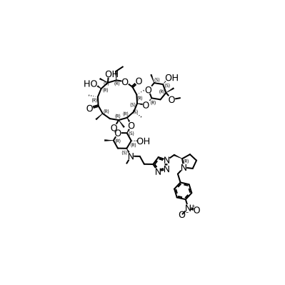 CC[C@H]1OC(=O)[C@H](C)[C@@H](O[C@H]2C[C@@](C)(OC)[C@@H](O)[C@H](C)O2)[C@H](C)[C@@H](O[C@@H]2O[C@H](C)C[C@H](N(C)CCc3cn(C[C@H]4CCCN4Cc4ccc([N+](=O)[O-])cc4)nn3)[C@H]2O)[C@](C)(OC)C[C@@H](C)C(=O)[C@H](C)[C@@H](O)[C@]1(C)O